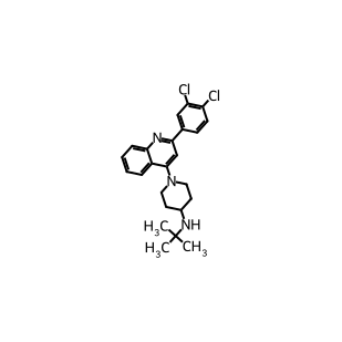 CC(C)(C)NC1CCN(c2cc(-c3ccc(Cl)c(Cl)c3)nc3ccccc23)CC1